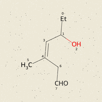 CCC(O)C=C(C)CC=O